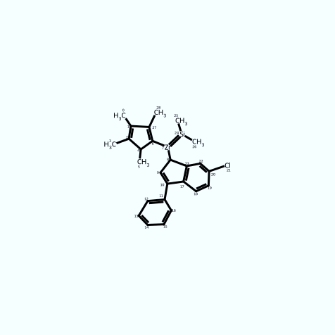 CC1=C(C)C(C)[C]([Zr]([CH]2C=C(c3ccccc3)c3ccc(Cl)cc32)=[Si](C)C)=C1C